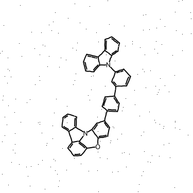 c1cc(-c2ccc(-c3ccc4c(c3)-n3c5ccccc5c5cccc(c53)O4)cc2)cc(-n2c3ccccc3c3ccccc32)c1